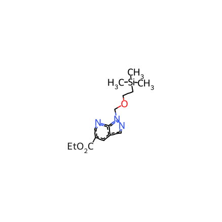 CCOC(=O)c1cnc2c(cnn2COCC[Si](C)(C)C)c1